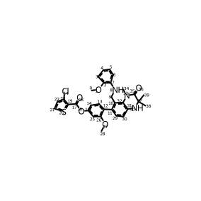 COc1ccccc1NCc1c(-c2ccc(OC(=O)c3sccc3Cl)cc2OC)ccc2c1N(C)C(=O)C(C)(C)N2